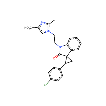 Cc1nc(C(=O)O)cn1CCN1C(=O)C2(CC2c2ccc(Cl)cc2)c2ccccc21